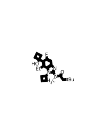 CCc1c(C2(O)CCC2)c(F)cc2nc(N(C)C(=O)CC(C)(C)C)n(C3CCC3)c12